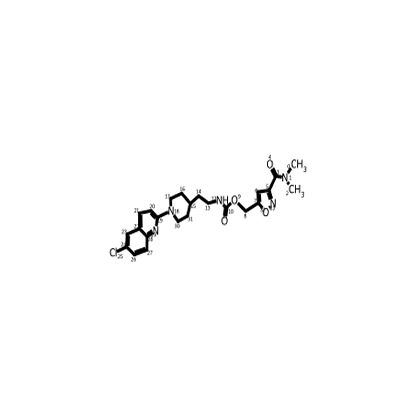 CN(C)C(=O)c1cc(COC(=O)NCCC2CCN(c3ccc4cc(Cl)ccc4n3)CC2)on1